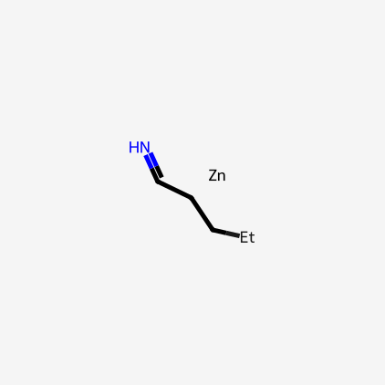 CCCCC=N.[Zn]